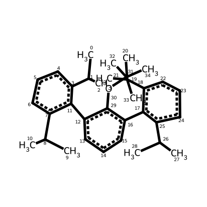 CC(C)c1cccc(C(C)C)c1-c1cccc(-c2c(C(C)C)cccc2C(C)C)c1OC(C)(C)C